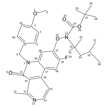 COc1ccc(Cn2c(=O)c3c(C)nccc3c3cc(F)c(ON(C(=O)OC(C)(C)C)C(C)(C)CC(C)C)cc32)cc1